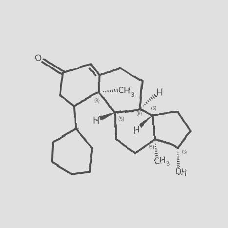 C[C@]12CC[C@H]3[C@@H](CCC4=CC(=O)CC([C]5CCCCC5)[C@@]43C)[C@@H]1CC[C@@H]2O